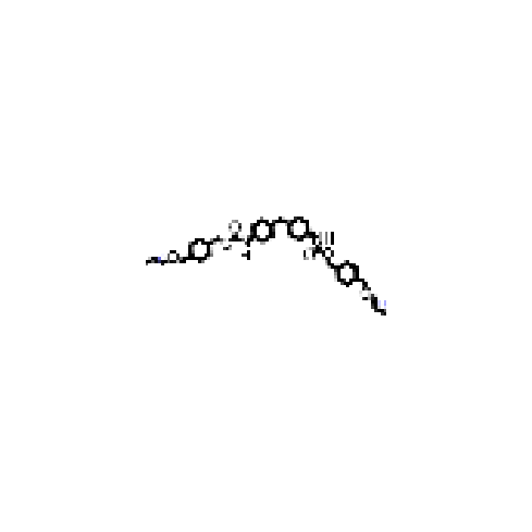 C/C=C/OCC1CCC(COC(=O)NC2CCC(CC3CCC(NC(=O)OCC4CCC(CO/C=C/C)CC4)CC3)CC2)CC1